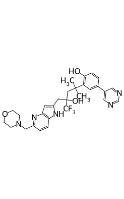 CC(C)(CC(O)(Cc1cc2nc(CN3CCOCC3)ccc2[nH]1)C(F)(F)F)c1cc(-c2cncnc2)ccc1O